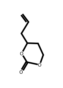 C=CCC1CCOC(=O)O1